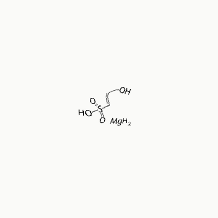 O=S(=O)(O)C=CO.[MgH2]